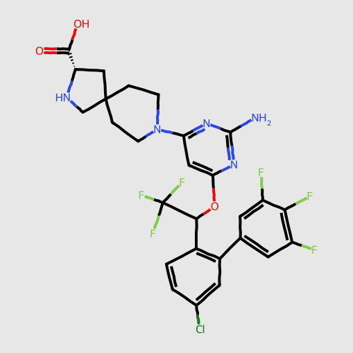 Nc1nc(OC(c2ccc(Cl)cc2-c2cc(F)c(F)c(F)c2)C(F)(F)F)cc(N2CCC3(CC2)CN[C@H](C(=O)O)C3)n1